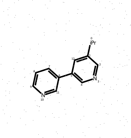 CC(C)c1cncc(-c2cccnc2)c1